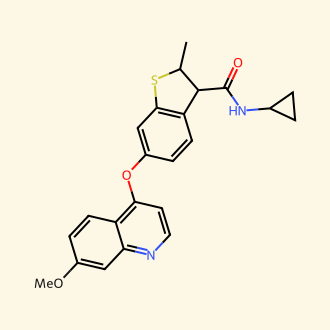 COc1ccc2c(Oc3ccc4c(c3)SC(C)C4C(=O)NC3CC3)ccnc2c1